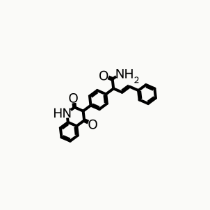 NC(=O)C(C=Cc1ccccc1)c1ccc(C2C(=O)Nc3ccccc3C2=O)cc1